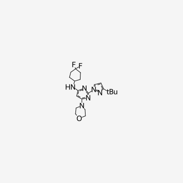 CC(C)(C)c1ccn(-c2nc(NC3CCC(F)(F)CC3)cc(N3CCOCC3)n2)n1